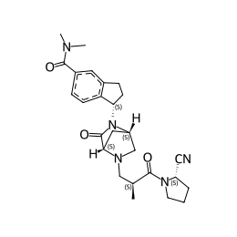 C[C@@H](CN1C[C@@H]2C[C@H]1C(=O)N2[C@H]1CCc2cc(C(=O)N(C)C)ccc21)C(=O)N1CCC[C@H]1C#N